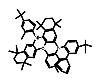 Cc1ccc2c(c1)N(c1ccc(C(C)(C)C)cc1-c1ccccc1)c1cc3c(cc1B2c1cc2c(cc1Nc1ccc(C(C)(C)C)cc1C)C(C)(C)CCC2(C)C)C(C)(C)CCC3(C)C